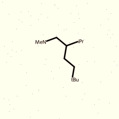 CNCC(CCC(C)(C)C)C(C)C